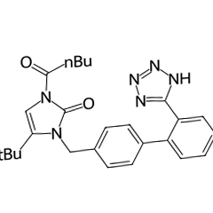 CCCCC(=O)n1cc(C(C)(C)C)n(Cc2ccc(-c3ccccc3-c3nnn[nH]3)cc2)c1=O